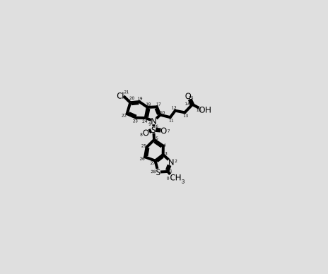 Cc1nc2cc(S(=O)(=O)n3c(CCCC(=O)O)cc4cc(Cl)ccc43)ccc2s1